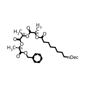 CCCCCCCCCCCCCCCCCC(=O)O[C@H](C)C(=O)O[C@H](C)C(=O)O[C@H](C)C(=O)OCc1ccccc1